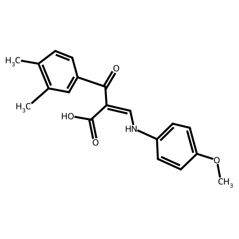 COc1ccc(NC=C(C(=O)O)C(=O)c2ccc(C)c(C)c2)cc1